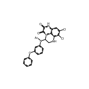 CC(=O)N(c1cccc(Oc2ccccc2)c1)C1CNc2c(Cl)c(Cl)cc3[nH]c(=O)c(=O)n1c23